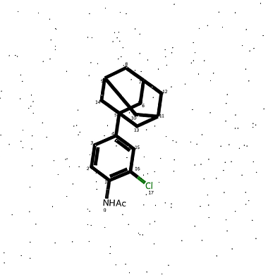 CC(=O)Nc1ccc(C23CC4CC(CC(C4)C2)C3)cc1Cl